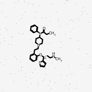 CCC(=O)N(c1ccccc1)C1CCN(CCc2ccccc2O[C@H](CCNC)c2cccs2)CC1